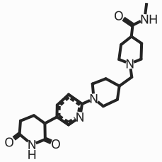 CNC(=O)C1CCN(CC2CCN(c3ccc(C4CCC(=O)NC4=O)cn3)CC2)CC1